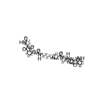 O=C1CCC(N2C(=O)c3cccc(OCC(=O)NCCCCCCN4CCC(C(=O)N5CCC[C@@H](Nc6ncc(Cl)c(-c7c[nH]c8ccccc78)n6)C5)CC4)c3C2=O)CN1